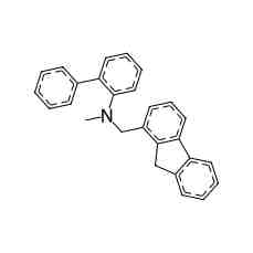 CN(Cc1cccc2c1Cc1ccccc1-2)c1ccccc1-c1ccccc1